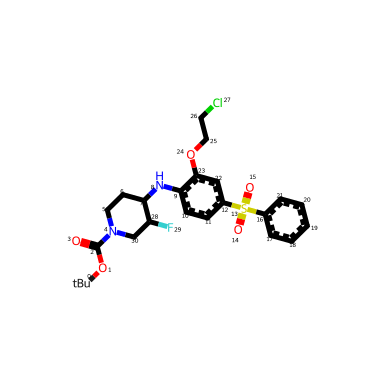 CC(C)(C)OC(=O)N1CCC(Nc2ccc(S(=O)(=O)c3ccccc3)cc2OCCCl)C(F)C1